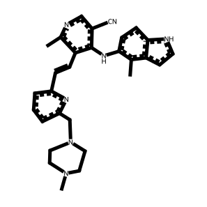 Cc1ncc(C#N)c(Nc2ccc3[nH]ccc3c2C)c1C=Cc1cccc(CN2CCN(C)CC2)n1